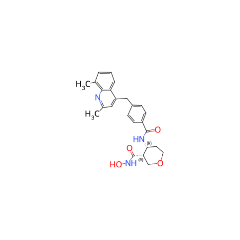 Cc1cc(Cc2ccc(C(=O)N[C@@H]3CCOC[C@@H]3C(=O)NO)cc2)c2cccc(C)c2n1